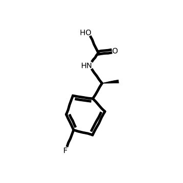 C[C@H](NC(=O)O)c1ccc(F)cc1